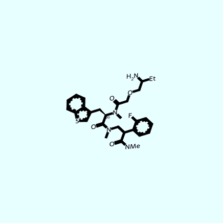 CCC(N)COCC(=O)N(C)[C@H](Cc1csc2ccccc12)C(=O)N(C)CC(C(=O)NC)c1ccccc1F